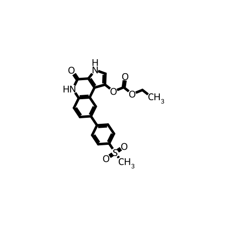 CCOC(=O)Oc1c[nH]c2c(=O)[nH]c3ccc(-c4ccc(S(C)(=O)=O)cc4)cc3c12